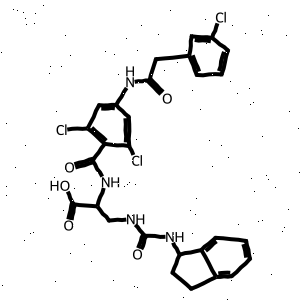 O=C(Cc1cccc(Cl)c1)Nc1cc(Cl)c(C(=O)NC(CNC(=O)NC2CCc3ccccc32)C(=O)O)c(Cl)c1